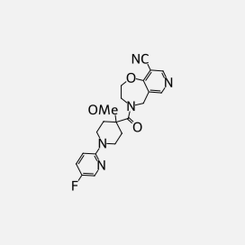 COC1(C(=O)N2CCOc3c(C#N)cncc3C2)CCN(c2ccc(F)cn2)CC1